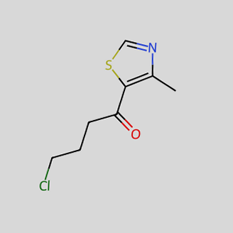 Cc1ncsc1C(=O)CCCCl